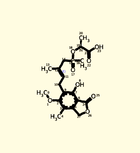 COc1c(C)c2c(c(O)c1C/C=C(\C)CP(C)(=O)O[C@@H](C)C(=O)O)C(=O)OC2